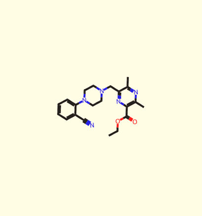 CCOC(=O)c1nc(CN2CCN(c3ccccc3C#N)CC2)c(C)nc1C